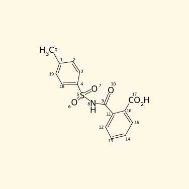 Cc1ccc(S(=O)(=O)NC(=O)c2ccccc2C(=O)O)cc1